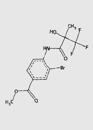 COC(=O)c1ccc(NC(=O)C(C)(O)C(F)(F)F)c(Br)c1